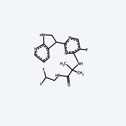 CC(C)(Nc1nc(C2CNc3ncccc32)ncc1F)C(=O)NCC(F)F